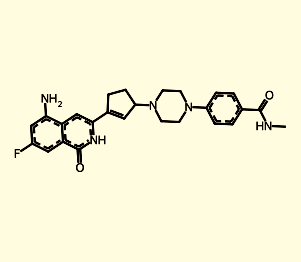 CNC(=O)c1ccc(N2CCN(C3C=C(c4cc5c(N)cc(F)cc5c(=O)[nH]4)CC3)CC2)cc1